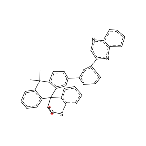 CC1(C)c2ccccc2C2(c3ccccc3Sc3ccccc32)c2cc(-c3cccc(-c4cnc5ccccc5n4)c3)ccc21